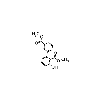 COC(=O)c1cccc(-c2cccc(O)c2C(=O)OC)c1